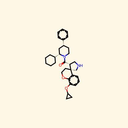 O=C([C@@H]1CNC[C@]12CCOc1c(OC3CC3)cccc12)N1CC[C@@H](c2ccccc2)C[C@H]1C1CCCCC1